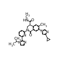 CNC(=O)C1CN(c2cccc(-c3nccn3C(C)C)n2)C(=O)c2cc(-n3cnc(C4CC4)c3)c(C)cc21